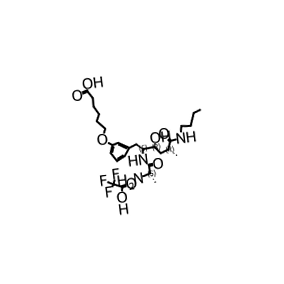 CCCCNC(=O)[C@H](C)C[C@@H](O)[C@H](Cc1cccc(OCCCCCC(=O)O)c1)NC(=O)[C@H](C)N.O=C(O)C(F)(F)F